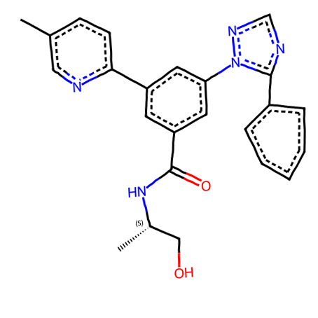 Cc1ccc(-c2cc(C(=O)N[C@@H](C)CO)cc(-n3ncnc3-c3ccccc3)c2)nc1